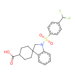 O=C(O)C1CCC2(CC1)CN(S(=O)(=O)c1ccc(C(F)F)cc1)c1ccccc12